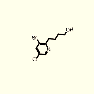 OCCCCc1ncc(Cl)cc1Br